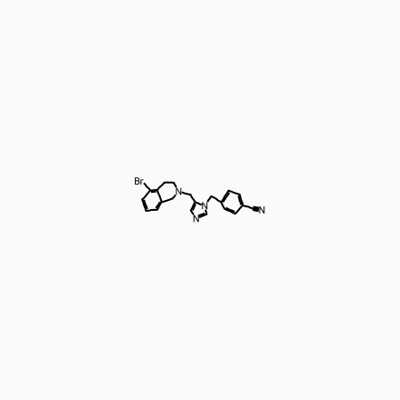 N#Cc1ccc(Cn2cncc2CN2CCc3c(Br)cccc3C2)cc1